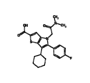 CN(C)C(=O)Cn1c(-c2ccc(F)cc2)c(C2CCCCC2)c2sc(C(=O)O)cc21